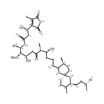 CO[C@H]([C@H](O)CC(=O)[C@@H](C)[C@@H](O)CC[C@@H](C)C1O[C@@]2(CCC(C)[C@H](CC[C@@H](C)C(C)=O)O2)CC[C@@H]1C)[C@H](OC(=O)C[C@@H](O)C1=C(C)C(=O)OC1=O)C(C)C